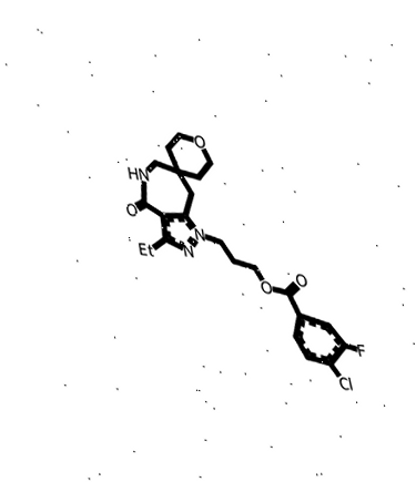 CCc1nn(CCCOC(=O)c2ccc(Cl)c(F)c2)c2c1C(=O)NCC1(CCOCC1)C2